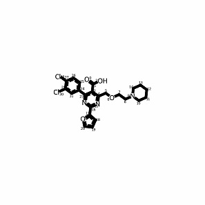 O=C(O)c1c(COCCN2CCCCC2)nc(-c2ccco2)nc1-c1ccc(Cl)c(Cl)c1